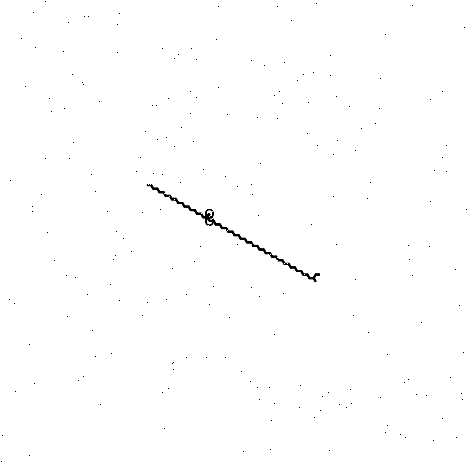 CCCCCCCCC=CCCCCCCCCCC(=O)OCCCCCCCCCCCCCCCCCCCCCCCCCCCCCCCCC(C)CC